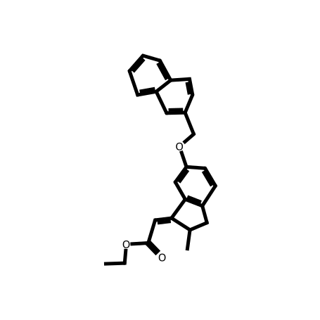 CCOC(=O)C=C1c2cc(OCc3ccc4ccccc4c3)ccc2CC1C